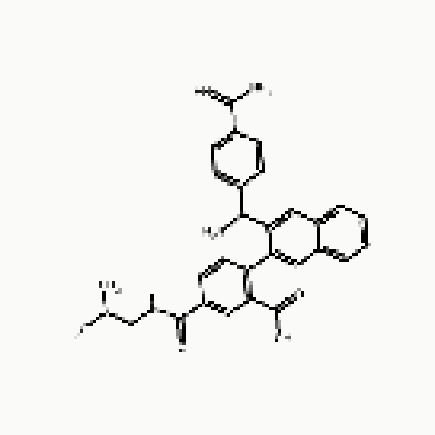 CC(C)CNC(=O)c1ccc(-c2cc3ccccc3cc2C(N)c2ccc(C(=N)N)cc2)c(C(=O)O)c1